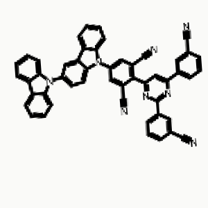 N#Cc1cccc(-c2cc(-c3c(C#N)cc(-n4c5ccccc5c5cc(-n6c7ccccc7c7ccccc76)ccc54)cc3C#N)nc(-c3cccc(C#N)c3)n2)c1